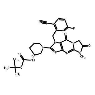 CN1C(=O)Cn2c1nc1nc(N3CCC[C@@H](NC(=O)OC(C)(C)C)C3)n(Cc3cc(F)ccc3C#N)c1c2=O